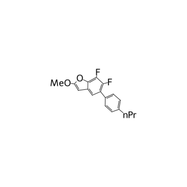 CCCc1ccc(-c2cc3cc(OC)oc3c(F)c2F)cc1